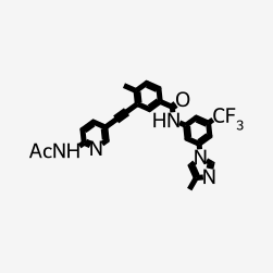 CC(=O)Nc1ccc(C#Cc2cc(C(=O)Nc3cc(-n4cnc(C)c4)cc(C(F)(F)F)c3)ccc2C)cn1